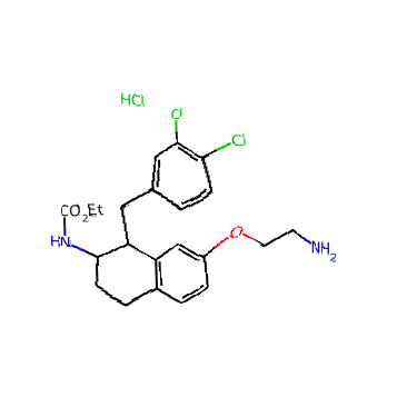 CCOC(=O)NC1CCc2ccc(OCCN)cc2C1Cc1ccc(Cl)c(Cl)c1.Cl